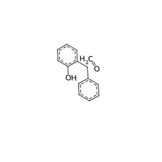 C=O.Oc1ccccc1Cc1ccccc1